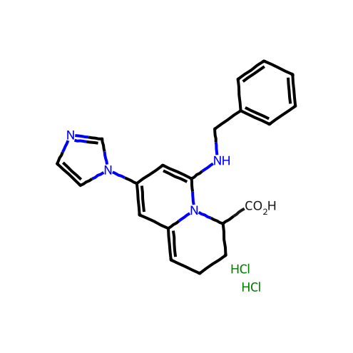 Cl.Cl.O=C(O)C1CCC=C2C=C(n3ccnc3)C=C(NCc3ccccc3)N21